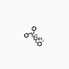 N/C(=C\C(=O)CN(Cc1ccccc1)Cc1ccccc1)Cc1ccccc1